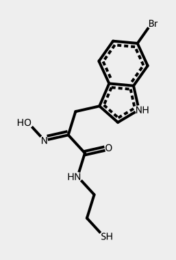 O=C(NCCS)/C(Cc1c[nH]c2cc(Br)ccc12)=N/O